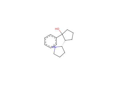 OC1(c2ccccc2)CCCC1[C@@H]1CCCN1